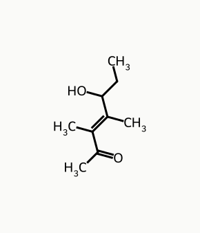 CCC(O)/C(C)=C(\C)C(C)=O